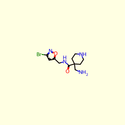 NCC1(C(=O)NCc2cc(Br)no2)CCNCC1